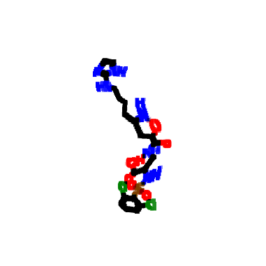 O=C(O)C(CNC(=O)C1CC(CCCCNc2ncc[nH]2)NO1)NS(=O)(=O)c1c(Cl)cccc1Cl